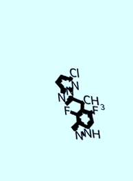 CC(c1c(F)cc2[nH]ncc2c1F)c1cnc2ccc(Cl)nn12